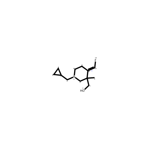 CC1(CO)CN(CC2CC2)CC/C1=C\F